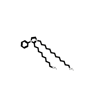 CCCCCCCCCCCCCC[n+]1ccn(-c2ccccc2)c1CCCCCCCCCC